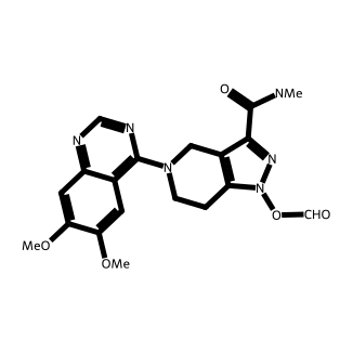 CNC(=O)c1nn(OC=O)c2c1CN(c1ncnc3cc(OC)c(OC)cc13)CC2